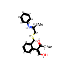 COC(=O)C(=CO)c1ccccc1CSCC(=Nc1ccccc1)SC